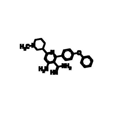 CN1CCCC(c2cc(N)c(C(=N)N)c(-c3ccc(Oc4ccccc4)cc3)n2)C1